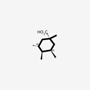 C[C@@H]1C[C@](C)(C(=O)O)C[C@@H](C)[C@H]1C